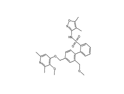 COCc1cc(COc2cc(C)nc(C)c2OC)ccc1-c1ccccc1S(=O)(=O)Nc1noc(C)c1C